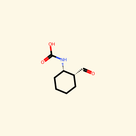 O=C[C@@H]1CCCC[C@@H]1NC(=O)O